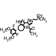 C=CC(=O)Nc1cn(CCN(C)C)nc1-c1n[nH]c2c1CCC[C@H](c1c(F)c(OC)cc(OC)c1F)C2